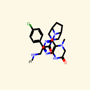 CC(C)NCC(C(=O)N1CC2CCC(C1)N2c1ncnc2c1N(C)CC(=O)N2)c1ccc(Cl)cc1